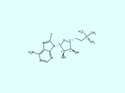 C=P(C)(C)CC[C@H]1O[C@@H](n2c(F)nc3c(N)ncnc32)[C@H](O)[C@@H]1O